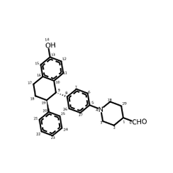 O=CC1CCN(c2ccc([C@H]3c4ccc(O)cc4CC[C@@H]3c3ccccc3)cc2)CC1